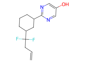 C=CCC(F)(F)C1CCCC(c2ncc(O)cn2)C1